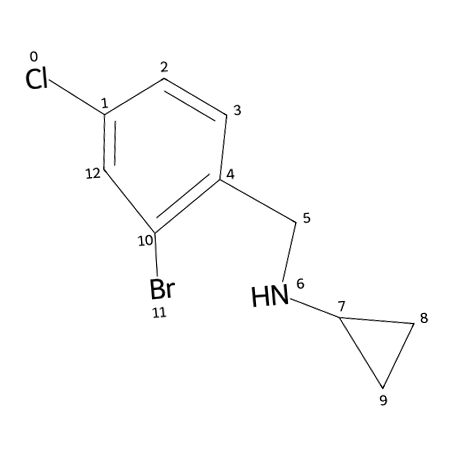 Clc1ccc(CNC2CC2)c(Br)c1